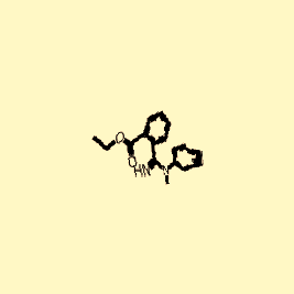 CCOC(=O)c1ccccc1C(=N)N(C)c1ccccc1